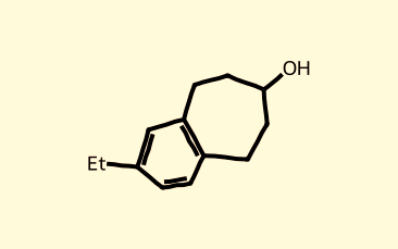 CCc1ccc2c(c1)CCC(O)CC2